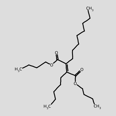 CCCCCCCCC(C(=O)OCCCC)=C(CCCCC)C(=O)OCCCC